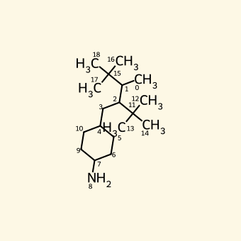 CC(C(CC1CCC(N)CC1)C(C)(C)C)C(C)(C)C